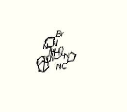 N#CC1CCCN1C(=O)CNC12CC3CC(CC(C3)C1Nc1nccc(Br)n1)C2